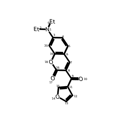 CCN(CC)c1ccc2cc(C(=O)c3ccoc3)c(=O)oc2c1